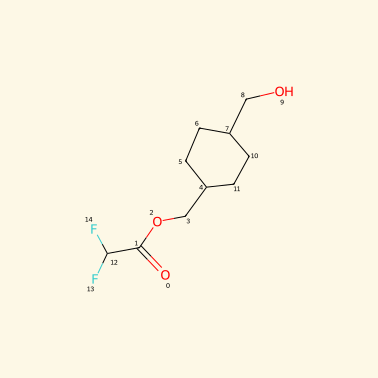 O=C(OCC1CCC(CO)CC1)C(F)F